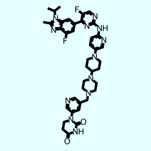 Cc1nc2c(F)cc(-c3nc(Nc4ccc(N5CCC(N6CCN(Cc7cncc(N8CCC(=O)NC8=O)c7)CC6)CC5)cn4)ncc3F)cc2n1C(C)C